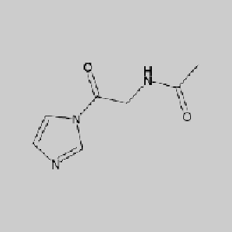 CC(=O)NCC(=O)n1ccnc1